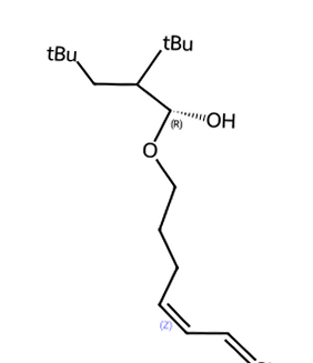 C=C/C=C\CCCO[C@@H](O)C(CC(C)(C)C)C(C)(C)C